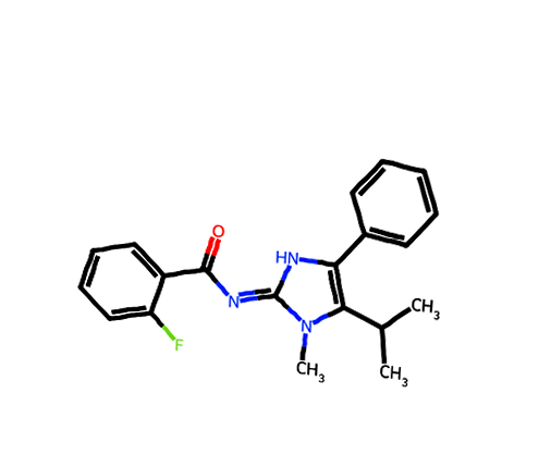 CC(C)c1c(-c2ccccc2)[nH]/c(=N\C(=O)c2ccccc2F)n1C